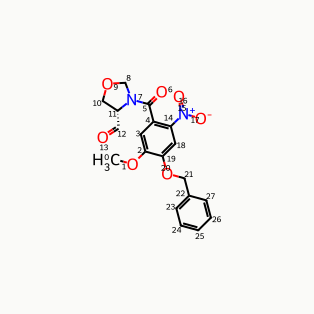 COc1cc(C(=O)N2COC[C@H]2C=O)c([N+](=O)[O-])cc1OCc1ccccc1